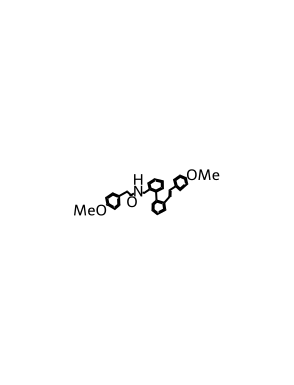 COc1ccc(C=Cc2ccccc2-c2ccccc2CNC(=O)Cc2ccc(OC)cc2)cc1